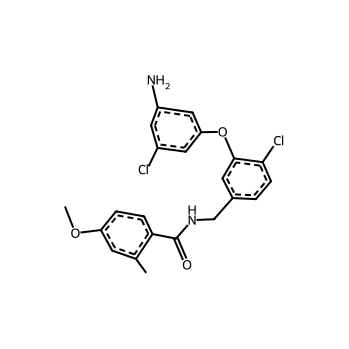 COc1ccc(C(=O)NCc2ccc(Cl)c(Oc3cc(N)cc(Cl)c3)c2)c(C)c1